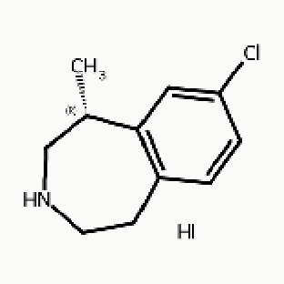 C[C@H]1CNCCc2ccc(Cl)cc21.I